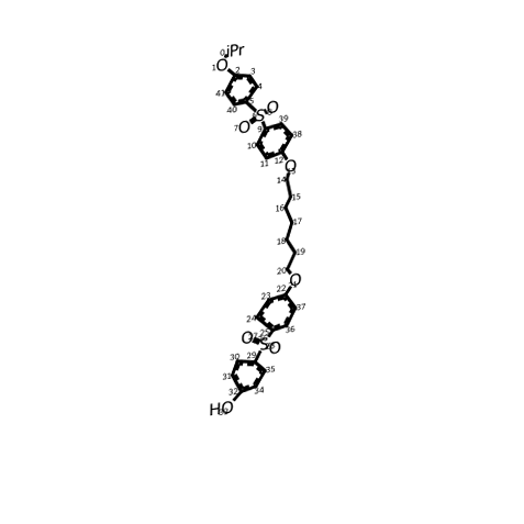 CC(C)Oc1ccc(S(=O)(=O)c2ccc(OCCCCCCCOc3ccc(S(=O)(=O)c4ccc(O)cc4)cc3)cc2)cc1